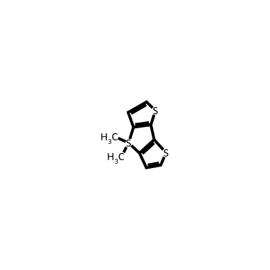 CS1(C)c2ccsc2-c2sccc21